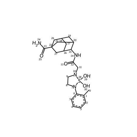 Cc1ccccc1N1CCN(CC(=O)NC2C3CC4CC2CC(C(N)=O)(C4)C3)S1(O)O